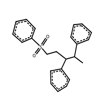 CC([C](CCS(=O)(=O)c1ccccc1)c1ccccc1)c1ccccc1